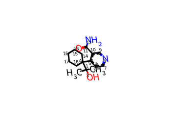 CC(C)(O)C1(c2ccncc2C(N)=O)CCCCC1